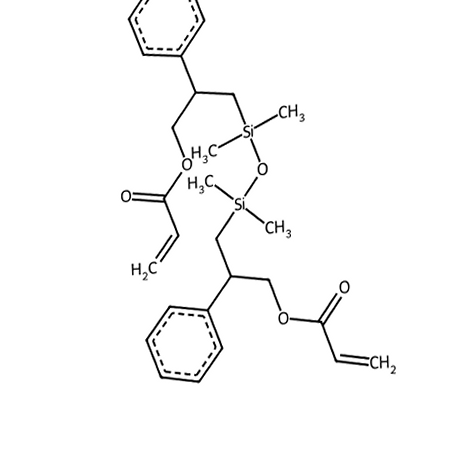 C=CC(=O)OCC(C[Si](C)(C)O[Si](C)(C)CC(COC(=O)C=C)c1ccccc1)c1ccccc1